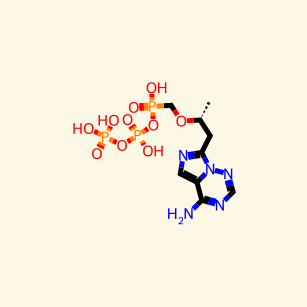 C[C@H](Cc1ncc2c(N)ncnn12)OCP(=O)(O)OP(=O)(O)OP(=O)(O)O